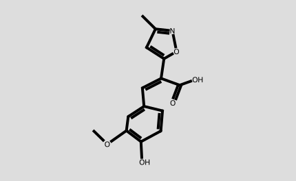 COc1cc(C=C(C(=O)O)c2cc(C)no2)ccc1O